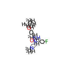 [2H]C([2H])(NC(=O)N(C1CCN(C([2H])([2H])[2H])CC1)C([2H])([2H])c1ccc(F)cc1)c1ccc(OC([2H])([2H])C([2H])(C)C([2H])([2H])[2H])cc1